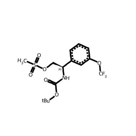 CC(C)(C)OC(=O)N[C@@H](COS(C)(=O)=O)c1cccc(OC(F)(F)F)c1